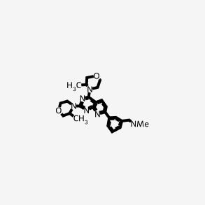 CNCc1cccc(-c2ccc3c(N4CCOCC4C)nc(N4CCOCC4C)nc3n2)c1